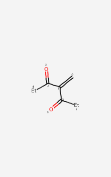 C=C(C(=O)CC)C(=O)CC